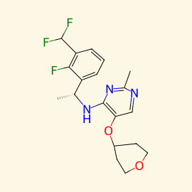 Cc1ncc(OC2CCOCC2)c(N[C@H](C)c2cccc(C(F)F)c2F)n1